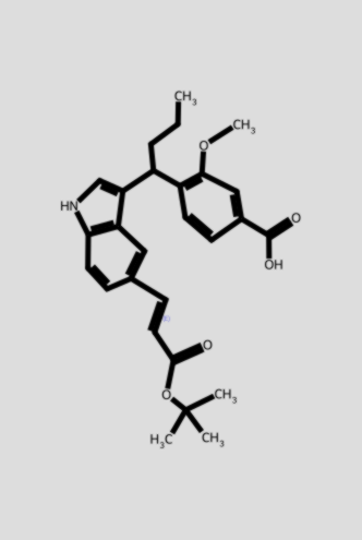 CCCC(c1ccc(C(=O)O)cc1OC)c1c[nH]c2ccc(/C=C/C(=O)OC(C)(C)C)cc12